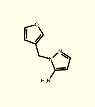 Nc1ccnn1Cc1ccoc1